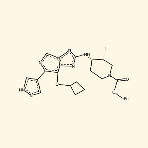 C[C@@H]1CN(C(=O)OC(C)(C)C)CC[C@@H]1Nc1nc2c(OC3CCC3)c(-c3cn[nH]c3)ncn2n1